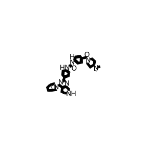 CN(C)C1CCN(C(=O)c2ccc(NC(=O)Nc3ccc(-c4nc5c(c(N6CC7CCC(C6)O7)n4)CCNC5)cc3)cc2)CC1